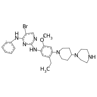 CCc1cc(Nc2ncc(Br)c(Nc3[c]cccc3)n2)c(OC)cc1N1CCC(N2CCNCC2)CC1